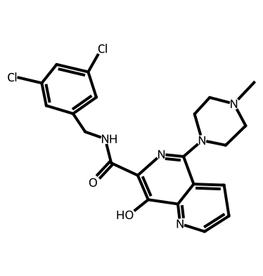 CN1CCN(c2nc(C(=O)NCc3cc(Cl)cc(Cl)c3)c(O)c3ncccc23)CC1